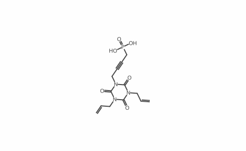 C=CCn1c(=O)n(CC#CCP(=O)(O)O)c(=O)n(CC=C)c1=O